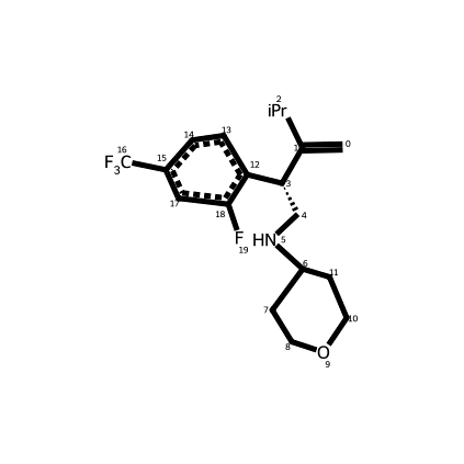 C=C(C(C)C)[C@H](CNC1CCOCC1)c1ccc(C(F)(F)F)cc1F